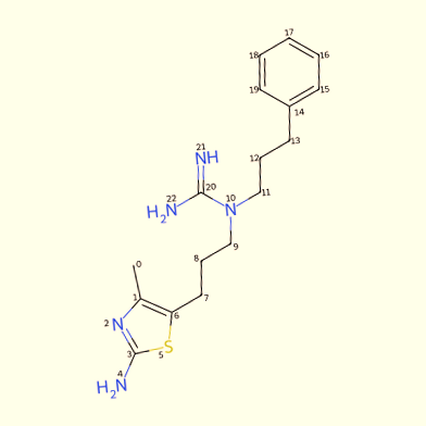 Cc1nc(N)sc1CCCN(CCCc1ccccc1)C(=N)N